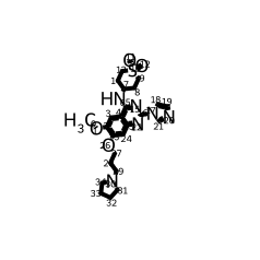 COc1cc2c(NC3CCS(=O)(=O)CC3)nc(-n3ccnc3)nc2cc1OCCCN1CCCC1